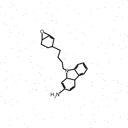 NC1=CC2C(C=C1)c1ccccc1N2CCCCC1C=C2OC2CC1